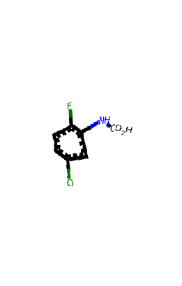 O=C(O)Nc1cc(Cl)ccc1F